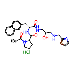 CC(C)(C)C(=O)N1CCCC1C(=O)N[C@H](Cc1ccc2ccccc2c1)C(=O)NCC(O)CNCc1nccs1.Cl